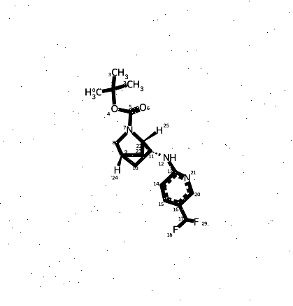 CC(C)(C)OC(=O)N1C[C@H]2C[C@@H](Nc3ccc(C(F)F)cn3)[C@@H]1C2